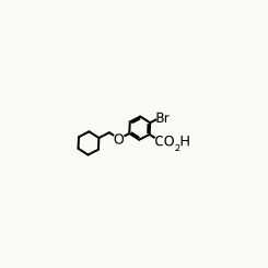 O=C(O)c1cc(OCC2CCCCC2)ccc1Br